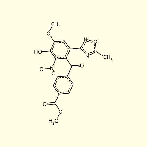 COC(=O)c1ccc(C(=O)c2c(-c3noc(C)n3)cc(OC)c(O)c2[N+](=O)[O-])cc1